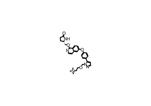 C[Si](C)(C)CCOCn1nccc1-c1ccc(Oc2ccc3c(OC[C@@H]4CCC(=O)N4)nccc3c2)cc1